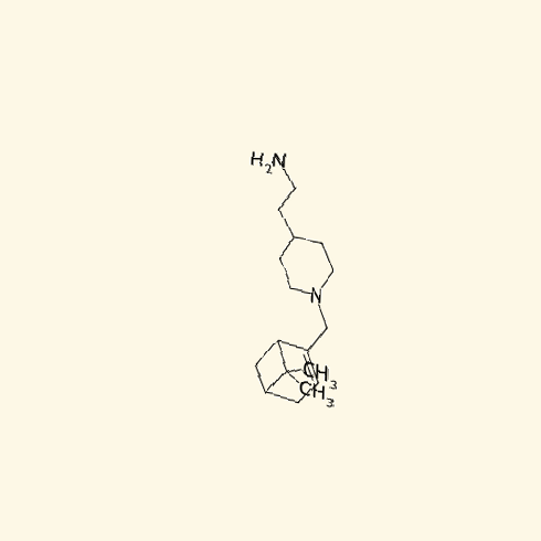 CC1(C)C2CC=C(CN3CCC(CCN)CC3)C1C2